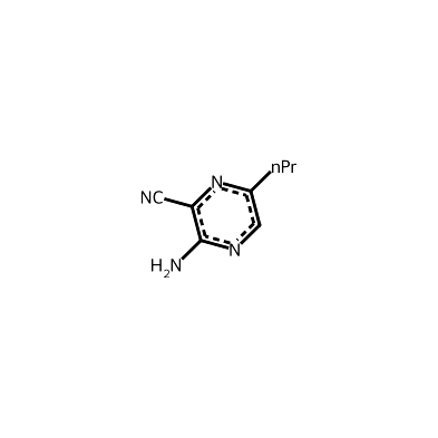 CCCc1cnc(N)c(C#N)n1